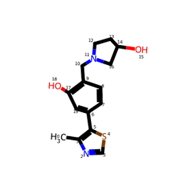 Cc1ncsc1-c1ccc(CN2CCC(O)C2)c(O)c1